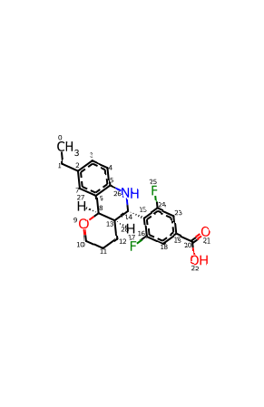 CCc1ccc2c(c1)[C@@H]1OCCC[C@@H]1[C@@H](c1c(F)cc(C(=O)O)cc1F)N2